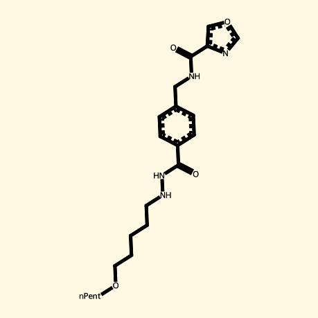 CCCCCOCCCCCNNC(=O)c1ccc(CNC(=O)c2cocn2)cc1